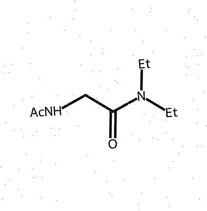 CCN(CC)C(=O)CNC(C)=O